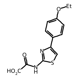 CCOc1ccc(-c2csc(NC(=O)C(=O)O)n2)cc1